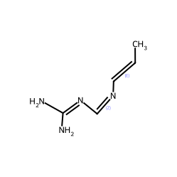 C/C=C/N=C\N=C(N)N